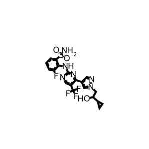 NS(=O)(=O)c1cccc(F)c1Nc1ncc(C(F)(F)F)c(-c2cnn(CC(O)C3CC3)c2)n1